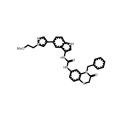 COCCn1cc(-c2ccc3[nH]cc(NC(=O)Nc4ccc5c(c4)N(Cc4ccccc4)C(=O)CS5)c3c2)cn1